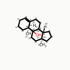 C[C@@]12CCC[C@H]1[C@@H]1CCC3=CCCC[C@]3(C)[C@@]1(O)CC2